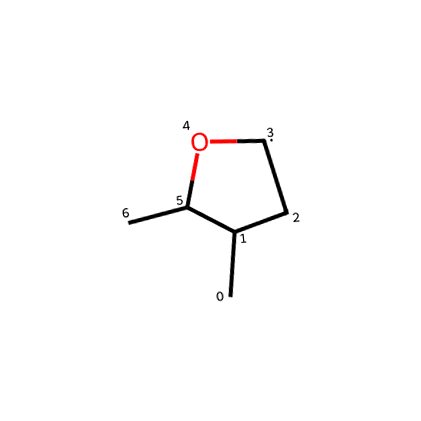 CC1C[CH]OC1C